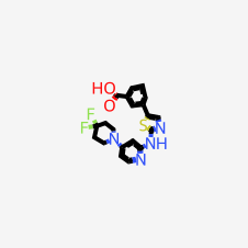 O=C(O)c1cccc(-c2cnc(Nc3cc(N4CCC(F)(F)CC4)ccn3)s2)c1